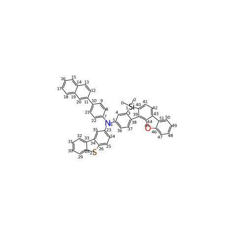 C[Si]1(C)c2cc(N(c3ccc(-c4ccc5ccccc5c4)cc3)c3ccc4sc5ccccc5c4c3)ccc2-c2c1ccc1c2oc2ccccc21